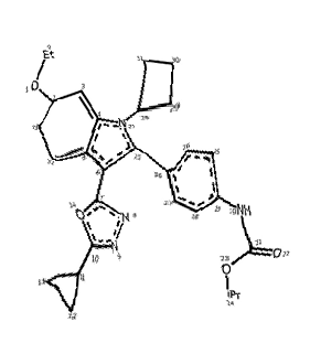 CCOC1C=c2c(c(-c3nnc(C4CC4)o3)c(-c3ccc(NC(=O)OC(C)C)cc3)n2C2CCC2)=CC1